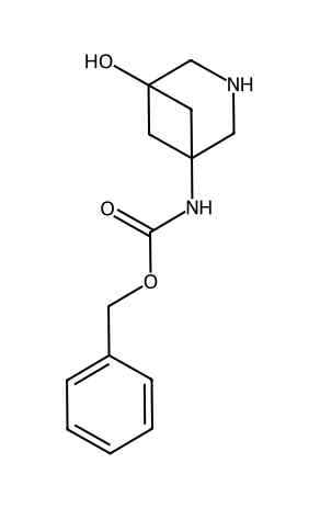 O=C(NC12CNCC(O)(C1)C2)OCc1ccccc1